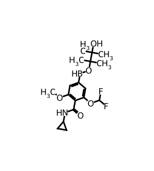 COc1cc(BOC(C)(C)C(C)(C)O)cc(OC(F)F)c1C(=O)NC1CC1